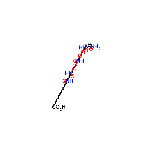 CC(CCC(N)=O)NC(=O)COCCOCCNC(=O)COCCOCCNC(=O)CCCNC(=O)CCCCCCCCCCCCCCCCC(=O)O